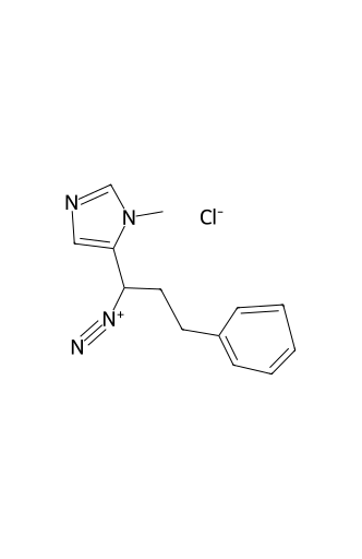 Cn1cncc1C(CCc1ccccc1)[N+]#N.[Cl-]